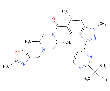 Cc1nc(CN2C[C@@H](C)N(C(=O)c3cc4c(-c5ccnc(C(C)(C)C)n5)nn(C)c4cc3C)C[C@@H]2C)co1